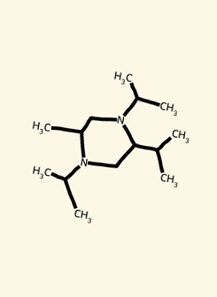 CC(C)C1CN(C(C)C)C(C)CN1C(C)C